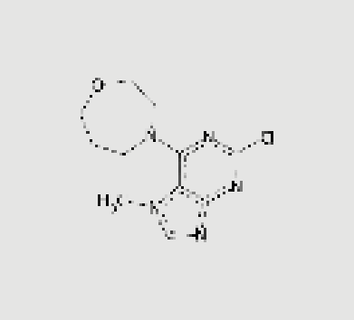 Cn1cnc2nc(Cl)nc(N3CCCOCC3)c21